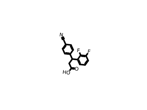 N#Cc1ccc(C(CC(=O)O)c2cccc(F)c2F)cc1